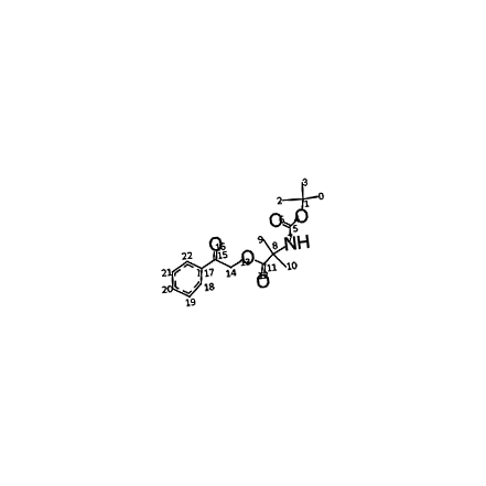 CC(C)(C)OC(=O)NC(C)(C)C(=O)OCC(=O)c1ccccc1